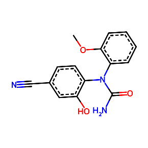 COc1ccccc1N(C(N)=O)c1ccc(C#N)cc1O